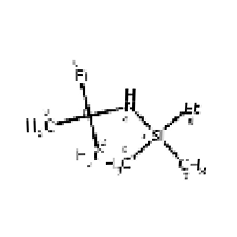 CCC(C)(C)N[Si](C)(C)CC